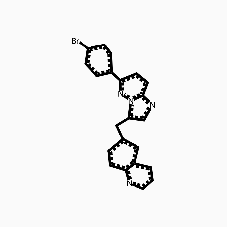 Brc1ccc(-c2ccc3ncc(Cc4ccc5ncccc5c4)n3n2)cc1